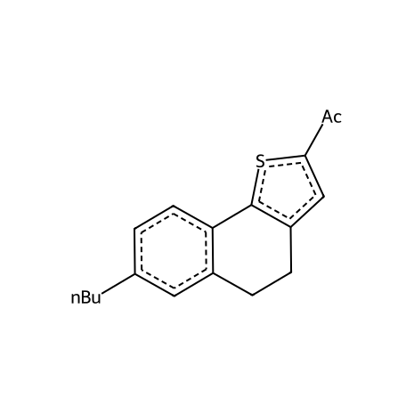 CCCCc1ccc2c(c1)CCc1cc(C(C)=O)sc1-2